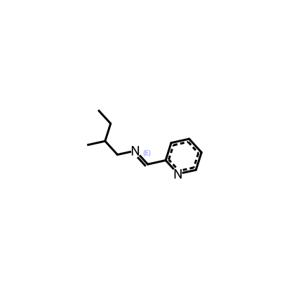 CCC(C)C/N=C/c1ccccn1